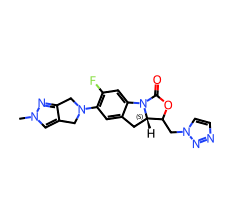 Cn1cc2c(n1)CN(c1cc3c(cc1F)N1C(=O)OC(Cn4ccnn4)[C@@H]1C3)C2